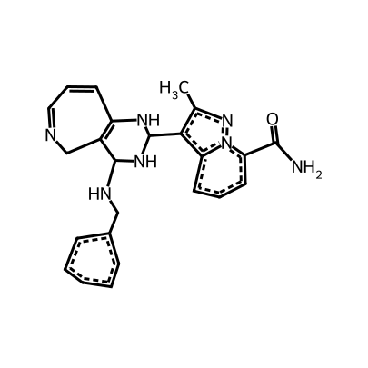 Cc1nn2c(C(N)=O)cccc2c1C1NC2=C(CN=CC=C2)C(NCc2ccccc2)N1